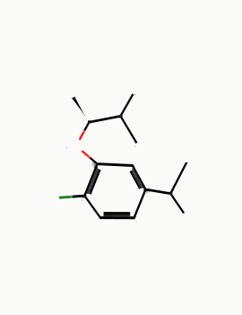 CC(C)c1ccc(Cl)c(O[C@@H](C)C(C)C)c1